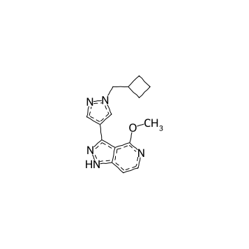 COc1nccc2[nH]nc(-c3cnn(CC4CCC4)c3)c12